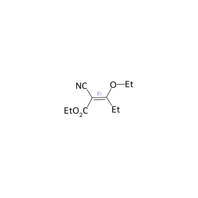 CCOC(=O)/C(C#N)=C(\CC)OCC